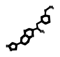 COc1cccc(CN(C)c2cnc3cc(-c4cn[nH]c4)ccc3n2)c1